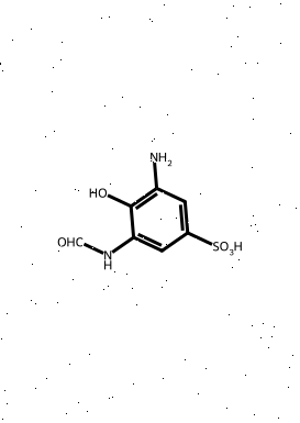 Nc1cc(S(=O)(=O)O)cc(NC=O)c1O